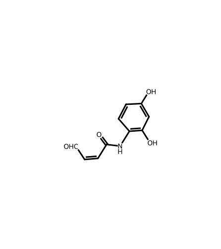 O=C/C=C\C(=O)Nc1ccc(O)cc1O